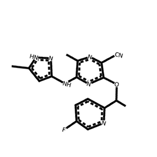 Cc1cc(Nc2nc(OC(C)c3ccc(F)cn3)c(C#N)nc2C)n[nH]1